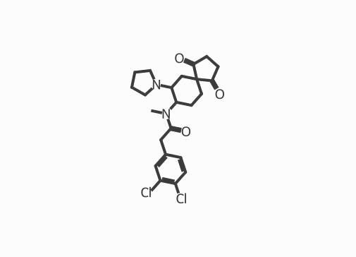 CN(C(=O)Cc1ccc(Cl)c(Cl)c1)C1CCC2(CC1N1CCCC1)C(=O)CCC2=O